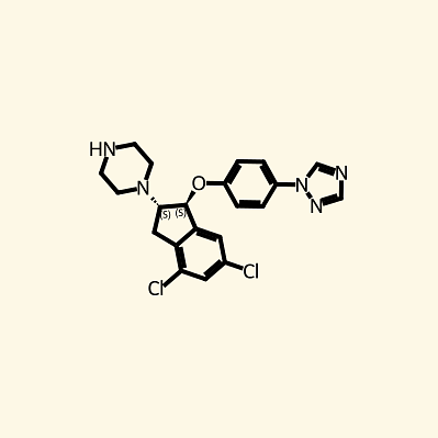 Clc1cc(Cl)c2c(c1)[C@H](Oc1ccc(-n3cncn3)cc1)[C@@H](N1CCNCC1)C2